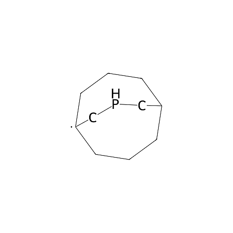 C1C[C]2CCCC(C1)CPC2